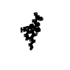 CCCc1ccc(O)c(S(=O)(=O)N=CN(C)C)c1